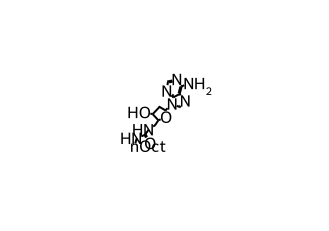 CCCCCCCCNC(=O)NCC1OC(n2cnc3c(N)ncnc32)CC1O